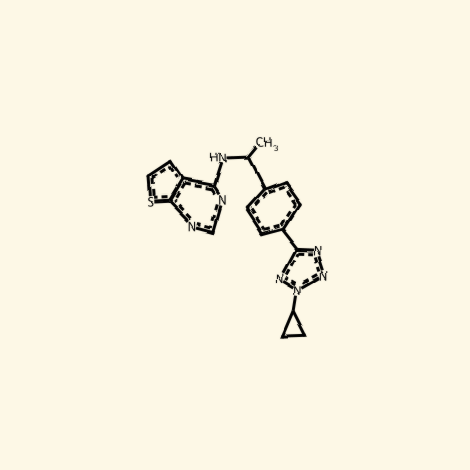 CC(Nc1ncnc2sccc12)c1ccc(-c2nnn(C3CC3)n2)cc1